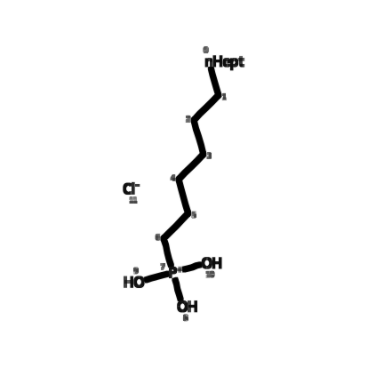 CCCCCCCCCCCCC[P+](O)(O)O.[Cl-]